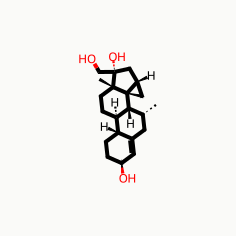 C[C@@H]1CC2=C[C@@H](O)CC[C@@H]2[C@H]2CC[C@]3(C)[C@@](O)(CO)C[C@@H]4C[C@]43[C@@H]21